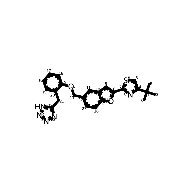 CC(C)(C)c1csc(-c2cc3cc(COc4ccccc4Cc4nnn[nH]4)ccc3o2)n1